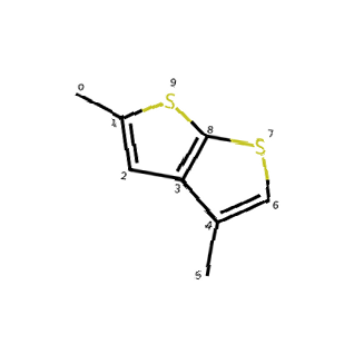 Cc1cc2c(C)csc2s1